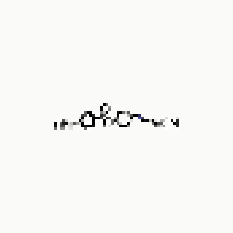 CCCc1ccc(C(=O)OC2CCC(/C=C/C=CC#N)CC2)cc1